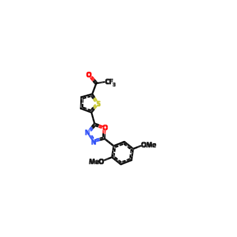 COc1ccc(OC)c(-c2nnc(-c3ccc(C(=O)C(F)(F)F)s3)o2)c1